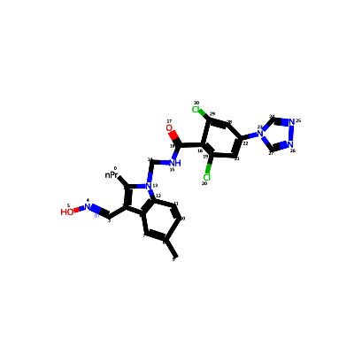 CCCc1c(/C=N/O)c2cc(C)ccc2n1CNC(=O)c1c(Cl)cc(-n2cnnc2)cc1Cl